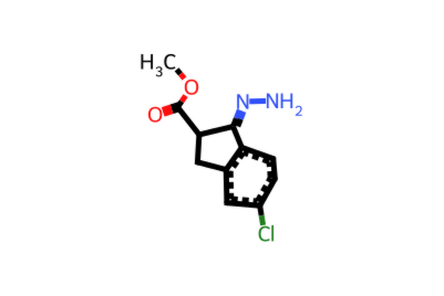 COC(=O)C1Cc2cc(Cl)ccc2C1=NN